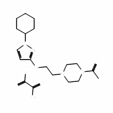 CC(=O)N1CCN(CCOc2ccn(C3CCCCC3)n2)CC1.O=C(O)C(=O)O